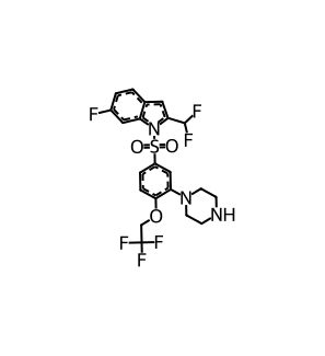 O=S(=O)(c1ccc(OCC(F)(F)F)c(N2CCNCC2)c1)n1c(C(F)F)cc2ccc(F)cc21